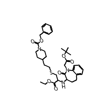 CCOC(=O)C(CSCCC1CCN(C(=O)OCc2ccccc2)CC1)NC1CCc2ccccc2N(CC(=O)OC(C)(C)C)C1=O